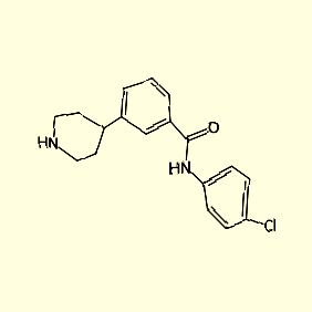 O=C(Nc1ccc(Cl)cc1)c1cccc(C2CCNCC2)c1